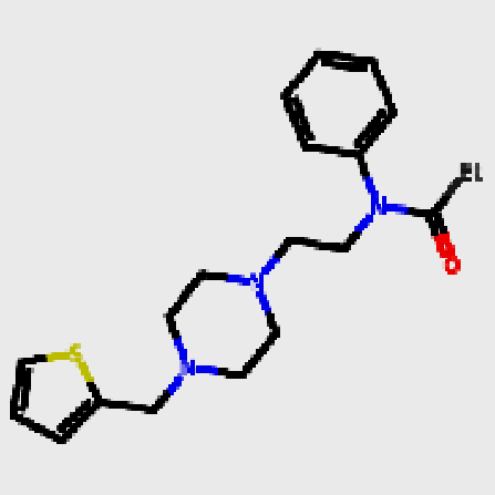 CCC(=O)N(CCN1CCN(Cc2cccs2)CC1)c1ccccc1